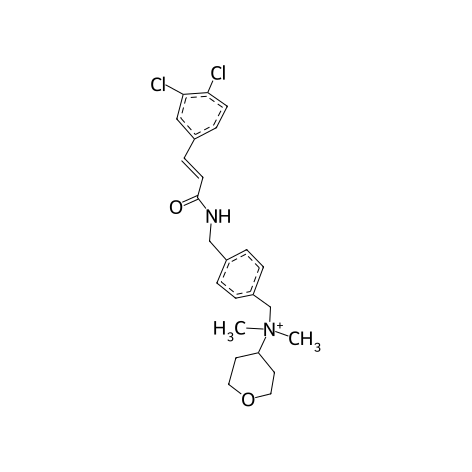 C[N+](C)(Cc1ccc(CNC(=O)/C=C/c2ccc(Cl)c(Cl)c2)cc1)C1CCOCC1